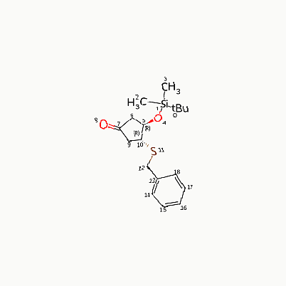 CC(C)(C)[Si](C)(C)O[C@@H]1CC(=O)C[C@H]1SCc1ccccc1